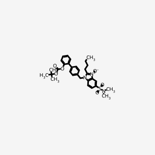 CCCCc1n(Cc2ccc(-c3ccccc3OC(=O)OC(C)(C)C)cc2)c2ccc(S(=O)(=O)N(C)C)cc2[n+]1[O-]